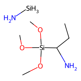 CCC(N)[Si](OC)(OC)OC.N[SiH3]